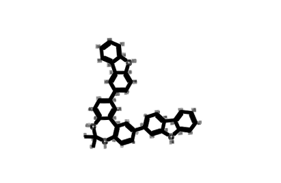 CC1(C)Oc2ccc(-c3ccc4c(c3)oc3ccccc34)cc2-c2cc(-c3ccc4oc5ccccc5c4c3)ccc2O1